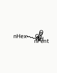 CCCCCCC=CCCCCCC(CCCCC)NC(=O)OC1CCOCC1